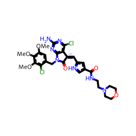 COc1cc(CN2C(=O)/C(=C\c3cc(C(=O)NCCN4CCOCC4)c[nH]3)c3c(Cl)nc(N)nc32)c(Cl)c(OC)c1OC